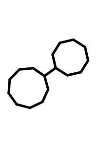 C1CCCC[C](C2CCCCCCC2)CCC1